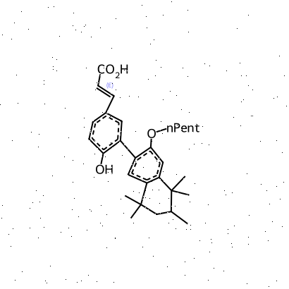 CCCCCOc1cc2c(cc1-c1cc(/C=C/C(=O)O)ccc1O)C(C)(C)CC(C)C2(C)C